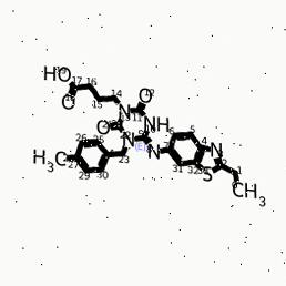 CCc1nc2ccc(/N=c3\[nH]c(=O)n(CCCC(=O)O)c(=O)n3Cc3ccc(C)cc3)cc2s1